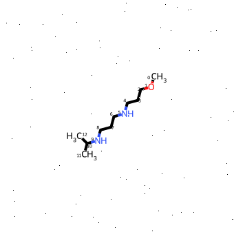 COCCCNCCCNC(C)C